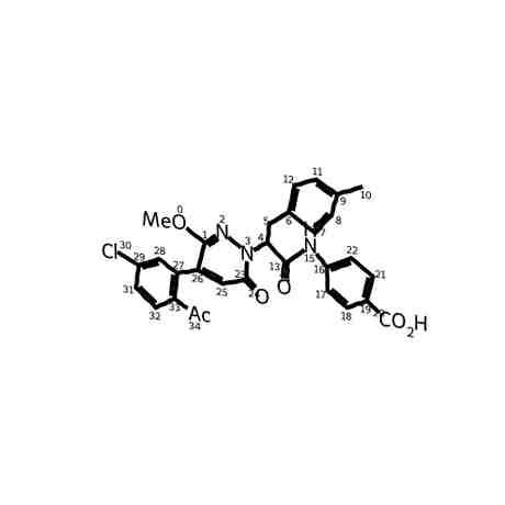 COc1nn(C(Cc2ccc(C)cc2)C(=O)Nc2ccc(C(=O)O)cc2)c(=O)cc1-c1cc(Cl)ccc1C(C)=O